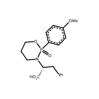 COc1ccc(P2(=O)OCCCN2[C@H](CC(C)C)C(=O)O)cc1